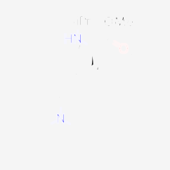 COC(=O)[C@@H](CCCCN1CCCCC1)NC(C)C